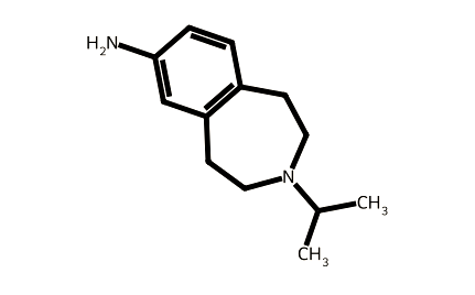 CC(C)N1CCc2ccc(N)cc2CC1